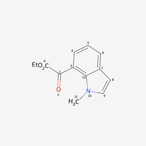 CCOC(=O)C(=O)c1cccc2ccn(C)c12